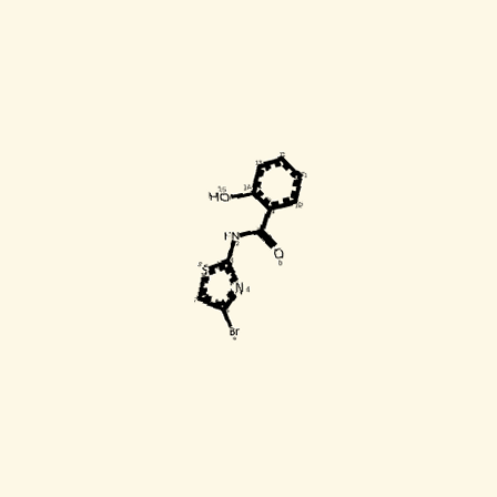 O=C(Nc1nc(Br)cs1)c1ccccc1O